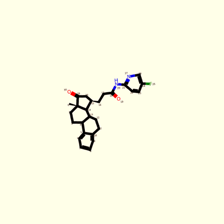 C[C@]12CCC3c4ccccc4CCC3C1[C@H](CCC(=O)Nc1ccc(F)cn1)CC2=O